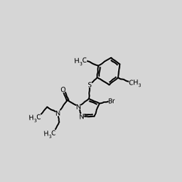 CCN(CC)C(=O)n1ncc(Br)c1Sc1cc(C)ccc1C